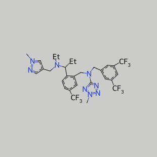 CCC(c1ccc(C(F)(F)F)cc1CN(Cc1cc(C(F)(F)F)cc(C(F)(F)F)c1)c1nnn(C)n1)N(CC)Cc1cnn(C)c1